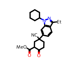 CCc1nn(C2CCCCC2)c2cc(C3(C#N)CCC(=O)C(C(=O)OC)C3)ccc12